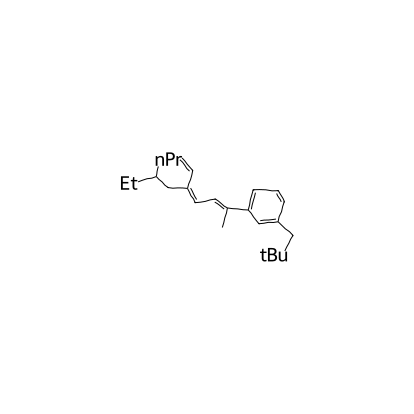 C=C/C(=C\C=C(/C)c1cccc(CC(C)(C)C)c1)CC(CC)CCC